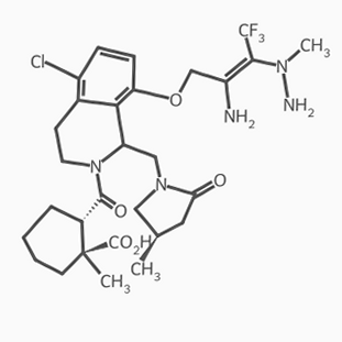 C[C@@H]1CC(=O)N(CC2c3c(OC/C(N)=C(/N(C)N)C(F)(F)F)ccc(Cl)c3CCN2C(=O)[C@H]2CCCC[C@]2(C)C(=O)O)C1